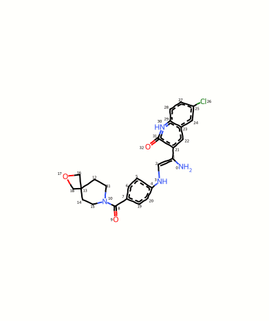 N/C(=C\Nc1ccc(C(=O)N2CCC3(CC2)COC3)cc1)c1cc2cc(Cl)ccc2[nH]c1=O